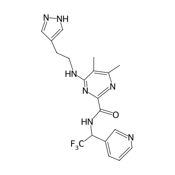 Cc1nc(C(=O)NC(c2cccnc2)C(F)(F)F)nc(NCCc2cn[nH]c2)c1C